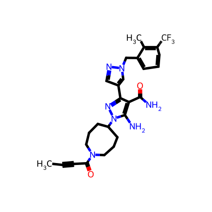 CC#CC(=O)N1CCCC(n2nc(-c3cnn(Cc4cccc(C(F)(F)F)c4C)c3)c(C(N)=O)c2N)CCC1